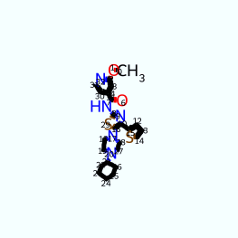 COc1cc(C(=O)Nc2nc(-c3cccs3)c(N3CCN(C4CCCCC4)CC3)s2)ccn1